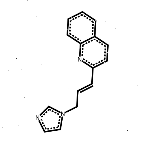 C(=Cc1ccc2ccccc2n1)Cn1ccnc1